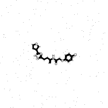 C=C(CCc1nnc(C2CCOC2)o1)NC(=O)COc1ccc(Cl)cc1